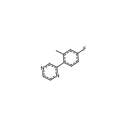 Cc1cc(F)ccc1-c1[c]nccn1